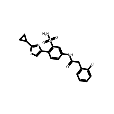 NS(=O)(=O)c1cc(NC(=O)Cc2ccccc2Cl)ccc1-c1csc(C2CC2)n1